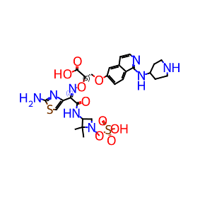 CC1(C)C(NC(=O)/C(=N\O[C@@H](COc2ccc3c(NC4CCNCC4)nccc3c2)C(=O)O)c2csc(N)n2)CN1OS(=O)(=O)O